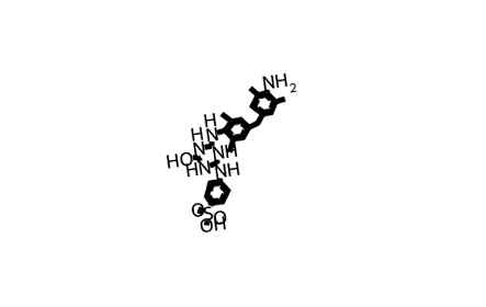 Cc1cc(Cc2cc(C)c(NC3NC(O)NC(Nc4ccc(S(=O)(=O)O)cc4)N3)c(C)c2)cc(C)c1N